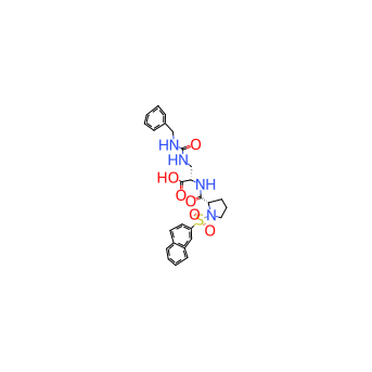 O=C(NCc1ccccc1)NC[C@H](NC(=O)[C@@H]1CCCN1S(=O)(=O)c1ccc2ccccc2c1)C(=O)O